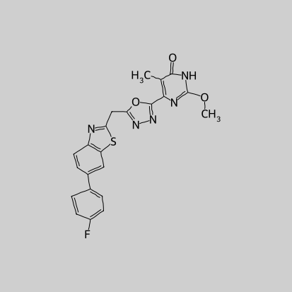 COc1nc(-c2nnc(Cc3nc4ccc(-c5ccc(F)cc5)cc4s3)o2)c(C)c(=O)[nH]1